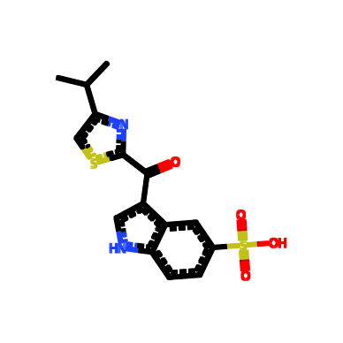 CC(C)c1csc(C(=O)c2c[nH]c3ccc(S(=O)(=O)O)cc23)n1